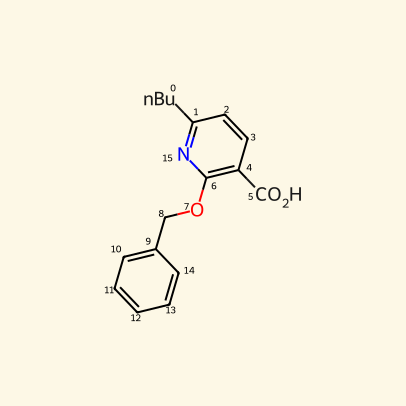 CCCCc1ccc(C(=O)O)c(OCc2ccccc2)n1